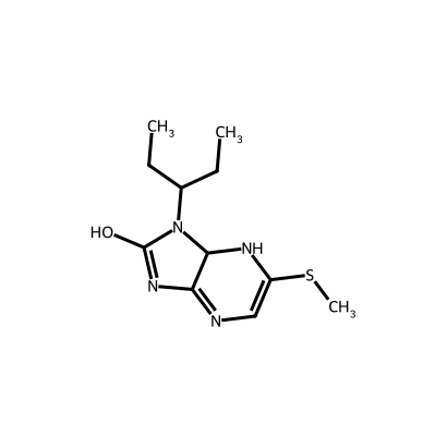 CCC(CC)N1C(O)=NC2=NC=C(SC)NC21